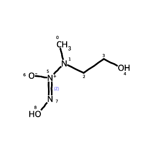 CN(CCO)/[N+]([O-])=N/O